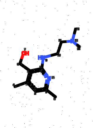 Cc1cc(C)c(CO)c(NCCN(C)C)n1